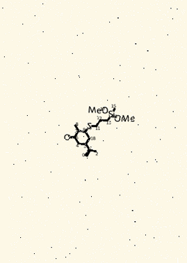 C=C(C)C1CC(=O)C(C)C(SCCC[Si](C)(OC)OC)C1